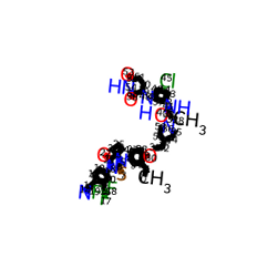 CCc1cc(N2C(=S)N(c3ccc(C#N)c(C(F)(F)F)c3)C(=O)C23CCC3)ccc1OCCC1CCN(C(C)C(=O)Nc2cc(Cl)cc(NC3CCC(=O)NC3=O)c2)CC1